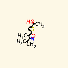 C=C(O)c1ccc(-c2onc(C(C)C)c2C)s1